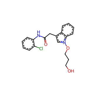 O=C(Cc1cn(OCCCO)c2ccccc12)Nc1ccccc1Cl